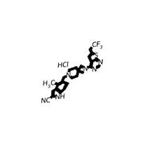 Cc1c(CN2CCC3(CC2)CN(c2ncnc4sc(CC(F)(F)F)cc24)C3)ccc2[nH]c(C#N)cc12.Cl